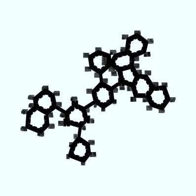 c1ccc(-c2nc(-c3ccc(-n4c5cc6ccccc6cc5c5c6ccccc6ccc54)c(-c4ccccc4)c3)nc(-c3cccc4ccccc34)n2)cc1